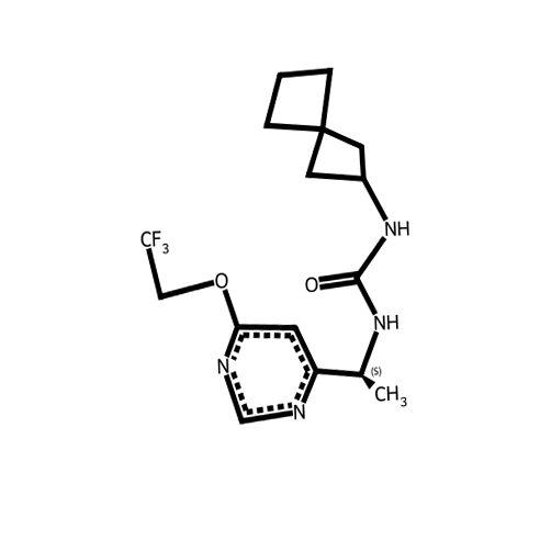 C[C@H](NC(=O)NC1CC2(CCC2)C1)c1cc(OCC(F)(F)F)ncn1